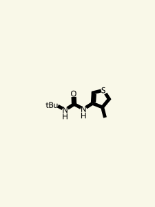 CC1CSC=C1NC(=O)NC(C)(C)C